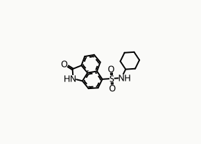 O=C1Nc2ccc(S(=O)(=O)NC3CCCCC3)c3cccc1c23